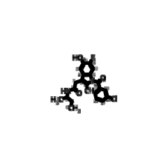 CCC(C)NC(=O)Cc1c(C)n(C(=O)c2cccc(Cl)c2)c2cc(F)c(O)cc12